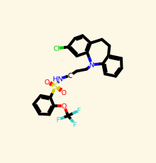 O=S(=O)(NCCCN1c2ccccc2CCc2ccc(Cl)cc21)c1ccccc1OC(F)(F)F